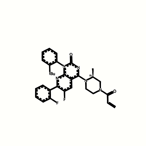 C=CC(=O)N1CCN(c2nc(=O)n(-c3ccccc3C(C)(C)C)c3nc(-c4ccccc4F)c(F)cc23)[C@@H](C)C1